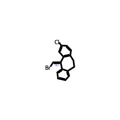 Clc1ccc2c(c1)/C(=C/Br)c1ccccc1CC2